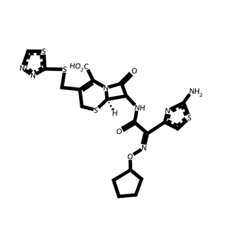 Nc1nc(/C(=N/OC2CCCC2)C(=O)NC2C(=O)N3C(C(=O)O)=C(CSc4nncs4)CS[C@H]23)cs1